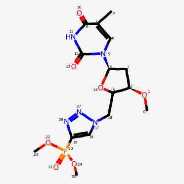 CO[C@@H]1C[C@H](n2cc(C)c(=O)[nH]c2=O)OC1Cn1cc(P(=O)(OC)OC)nn1